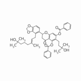 C/C(=C\Cc1c(C2CC(=O)c3c(cc(OC(=O)c4ccccc4)c(CCC(C)(C)O)c3OC(=O)c3ccccc3)O2)ccc2c1OCO2)CCCC(C)(C)O